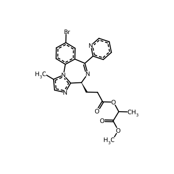 COC(=O)C(C)OC(=O)CC[C@@H]1N=C(c2ccccn2)c2cc(Br)ccc2-n2c(C)cnc21